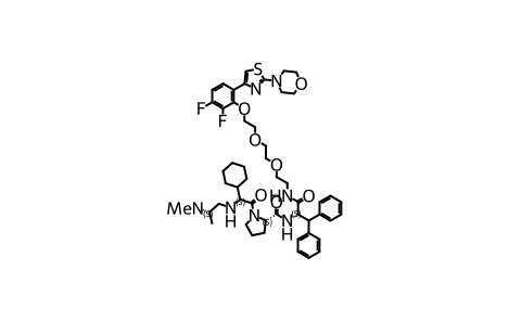 CN[C@@H](C)CN[C@H](C(=O)N1CCC[C@H]1C(=O)N[C@H](C(=O)NCCOCCOCCOc1c(-c2csc(N3CCOCC3)n2)ccc(F)c1F)C(c1ccccc1)c1ccccc1)C1CCCCC1